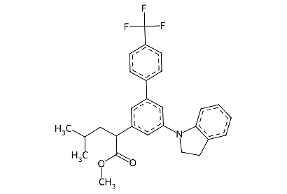 COC(=O)C(CC(C)C)c1cc(-c2ccc(C(F)(F)F)cc2)cc(N2CCc3ccccc32)c1